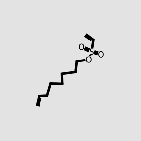 C=CCCCCCCOS(=O)(=O)C=C